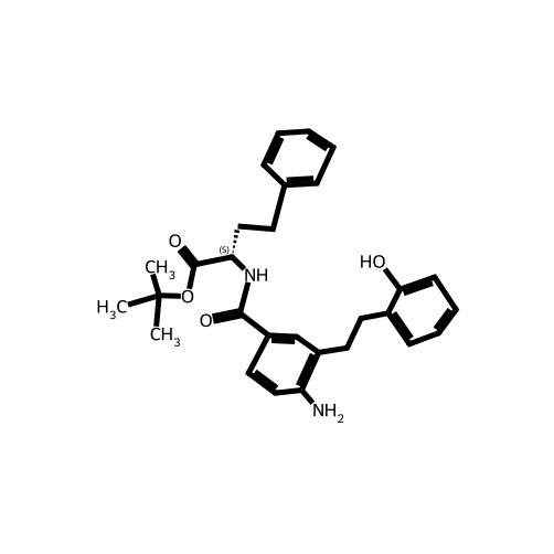 CC(C)(C)OC(=O)[C@H](CCc1ccccc1)NC(=O)c1ccc(N)c(CCc2ccccc2O)c1